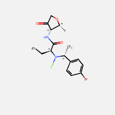 CC(C)C[C@@H](C(=O)N[C@@H]1C(=O)CO[C@@H]1C)N(F)[C@@H](c1ccc(Br)cc1)C(F)(F)F